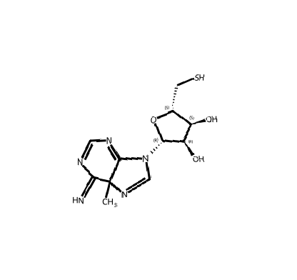 CC12N=CN([C@@H]3O[C@H](CS)[C@@H](O)[C@H]3O)C1=NC=NC2=N